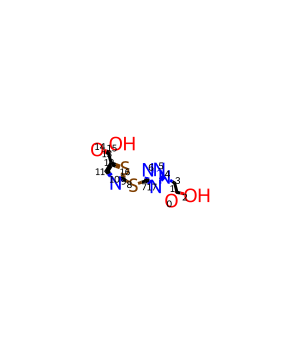 O=C(O)Cn1nnc(Sc2ncc(C(=O)O)s2)n1